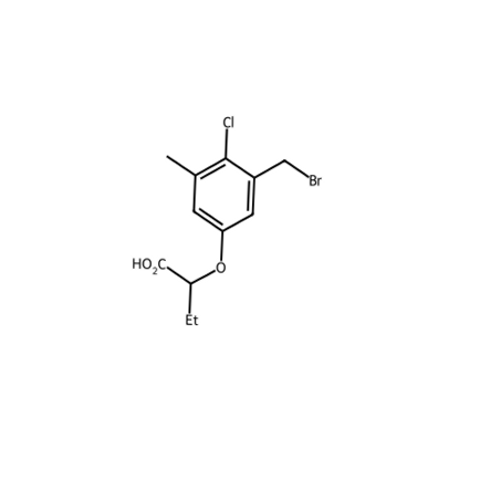 CCC(Oc1cc(C)c(Cl)c(CBr)c1)C(=O)O